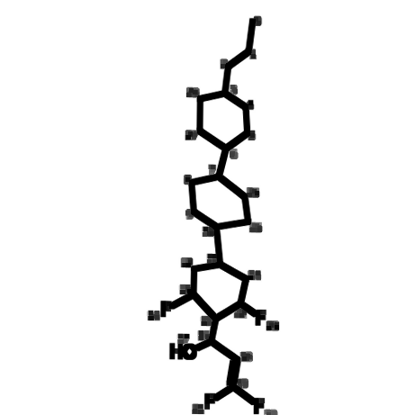 CCCC1CCC(C2CCC(C3CC(F)C(C(O)C=C(F)F)C(F)C3)CC2)CC1